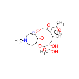 CC(=O)CC1(C)C(=O)CO/C2=C/CN(C)CCC(OC(=O)C(O)(C(C)O)CC1C)C2=O